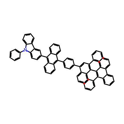 c1ccc(-c2cc(-c3ccc(-c4c5ccccc5c(-c5ccc6c(c5)c5ccccc5n6-c5ccccc5)c5ccccc45)cc3)c3ccccc3c2-c2c(-c3ccccc3)c3ccccc3c3ccccc23)cc1